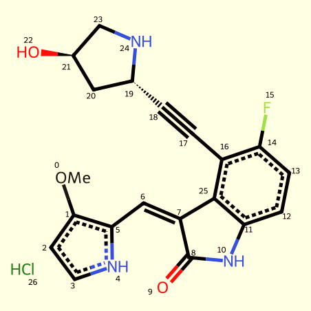 COc1cc[nH]c1/C=C1\C(=O)Nc2ccc(F)c(C#C[C@@H]3C[C@@H](O)CN3)c21.Cl